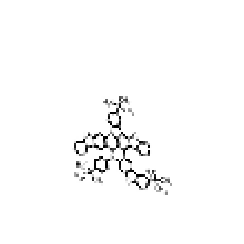 CC(C)(C)c1ccc(N2B3c4cc5c(cc4-n4c6ccc(C(C)(C)C)cc6c6c7oc8ccccc8c7c(c3c64)-c3cc4c(cc32)sc2ccc(C(C)(C)C)cc24)oc2ccccc25)cc1